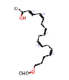 CCC(O)/C=C/C=C\C/C=C\C/C=C\C/C=C\CCCOC=O